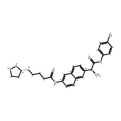 CCc1ccc(OC(=O)[C@@H](C)c2ccc3cc(OC(=O)CCCC[C@@H]4CCSS4)ccc3c2)cc1